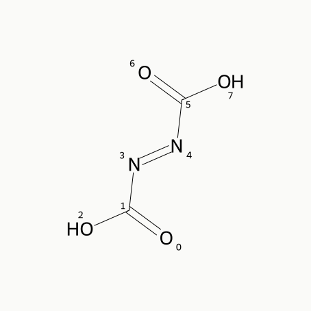 O=C(O)/N=N/C(=O)O